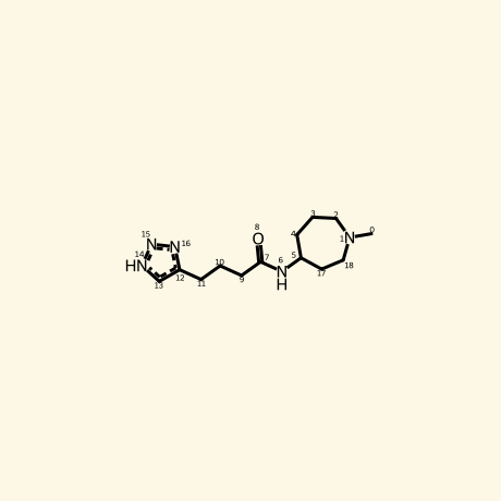 CN1CCCC(NC(=O)CCCc2c[nH]nn2)CC1